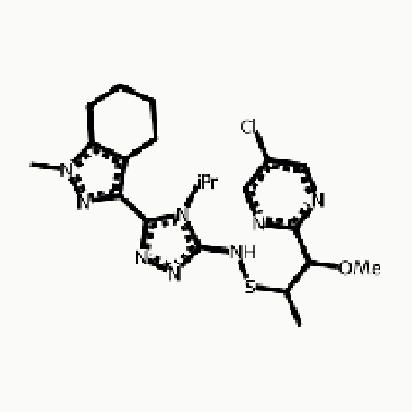 COC(c1ncc(Cl)cn1)C(C)SNc1nnc(-c2nn(C)c3c2CCCC3)n1C(C)C